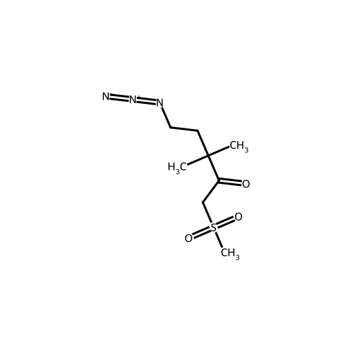 CC(C)(CCN=[N+]=[N-])C(=O)CS(C)(=O)=O